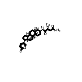 C[C@]12CC[C@H](NC(=O)C(N)CC(N)=O)C[C@@]1(O)CC[C@@H]1[C@@H]2CC[C@]2(C)[C@@H](c3ccc(=O)oc3)CC[C@]12O